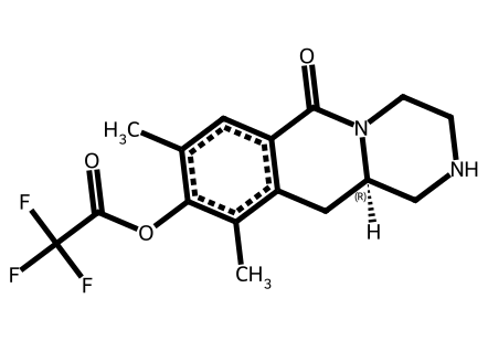 Cc1cc2c(c(C)c1OC(=O)C(F)(F)F)C[C@@H]1CNCCN1C2=O